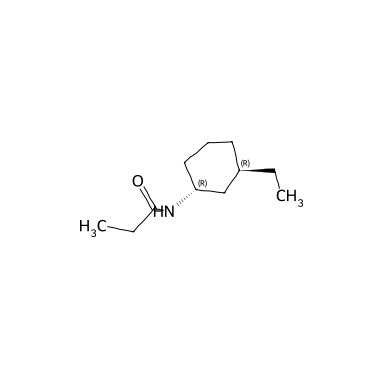 CCC(=O)N[C@@H]1CCC[C@@H](CC)C1